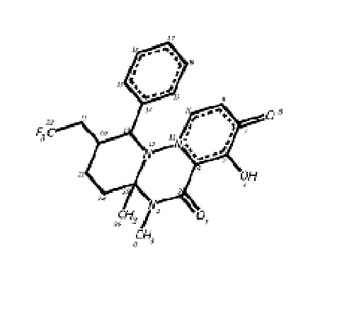 CN1C(=O)c2c(O)c(=O)ccn2N2C(c3ccccc3)C(CC(F)(F)F)CCC12C